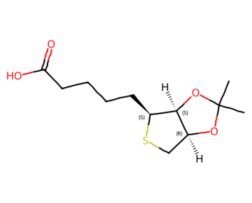 CC1(C)O[C@H]2[C@H](CS[C@H]2CCCCC(=O)O)O1